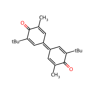 CC1=C/C(=C2/C=C(C)C(=O)C(C(C)(C)C)=C2)C=C(C(C)(C)C)C1=O